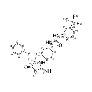 CN1C(=N)N[C@](CCc2ccccc2)(C[C@H]2CCC[C@@H](NC(=O)Nc3cccc(C(F)(F)F)c3)C2)C1=O